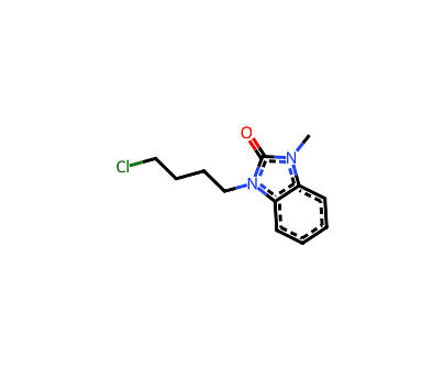 Cn1c(=O)n(CCCCCl)c2ccccc21